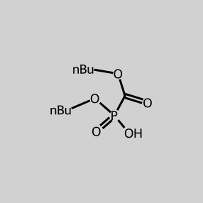 CCCCOC(=O)P(=O)(O)OCCCC